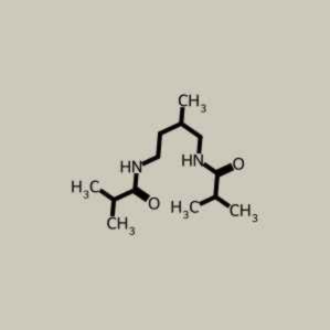 CC(CCNC(=O)C(C)C)CNC(=O)C(C)C